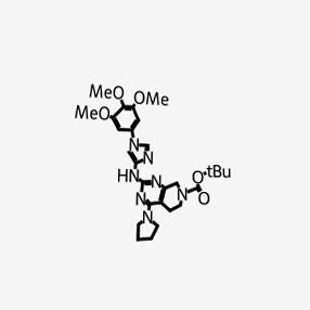 COc1cc(-n2cnc(Nc3nc4c(c(N5CCCC5)n3)CCN(C(=O)OC(C)(C)C)C4)c2)cc(OC)c1OC